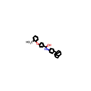 O=C(O)c1ccccc1Oc1ccc(C(O)Nc2ccc(C34CC5CC(CC(C5)C3)C4)cc2)cc1